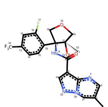 Cc1cnc2c(C(=O)N[C@@]3(c4ccc(C(F)(F)F)cc4F)COC[C@@]3(C)O)cnn2c1